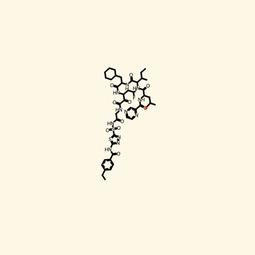 CCc1ccc(C(=O)Nc2nnc(S(=O)(=O)NC(=O)CNC(=O)C(=O)C(CC(F)F)NC(=O)C(CC3CCCCC3)NC(=O)C(NC(=O)C(CC(C)C)NC(=O)c3cnccn3)C(C)CC)s2)cc1